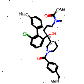 CNCc1ccc(C(=O)N2CCC[C@@H]([C@@](O)(CCCN(C)C(=O)OC)c3cccc(Cl)c3-c3cccc(OC)c3)C2)cc1